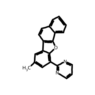 Cc1cc(-c2ncccn2)c2oc3c4ccccc4ccc3c2c1